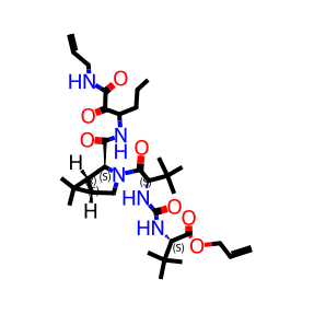 C=CCNC(=O)C(=O)C(CCC)NC(=O)[C@@H]1[C@@H]2[C@H](CN1C(=O)[C@@H](NC(=O)N[C@H](C(=O)OCC=C)C(C)(C)C)C(C)(C)C)C2(C)C